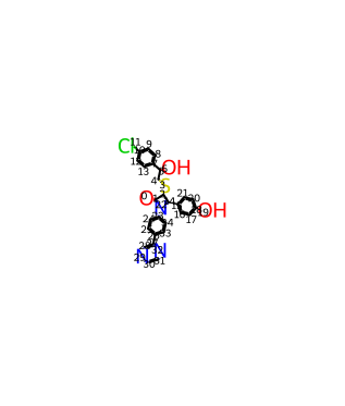 O=C1[C@H](SC[C@H](O)c2ccc(Cl)cc2)[C@@H](c2ccc(O)cc2)N1c1ccc(-c2cnccn2)cc1